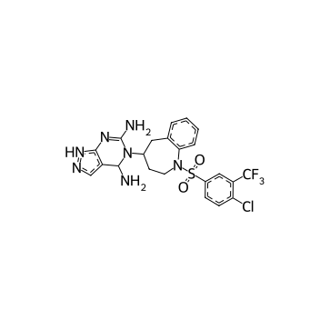 NC1=Nc2[nH]ncc2C(N)N1C1CCN(S(=O)(=O)c2ccc(Cl)c(C(F)(F)F)c2)c2ccccc2C1